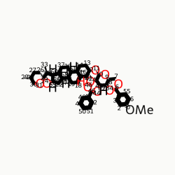 COc1ccc(C2OCC3O[C@@H](O[C@H]4CC[C@@]5(C)C(=CC[C@H]6[C@@H]7C[C@@H]8O[C@]9(CC[C@@H](C)CO9)[C@@H](C)[C@@H]8[C@@]7(C)CC[C@@H]65)C4)C(O)C(OC(=O)c4ccccc4)[C@@H]3O2)cc1